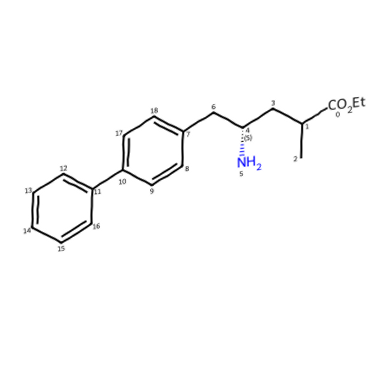 CCOC(=O)C(C)C[C@H](N)Cc1ccc(-c2ccccc2)cc1